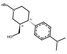 CCCCN1CC[C@H](c2ccc(N(C)C)cc2)[C@@H](CO)C1